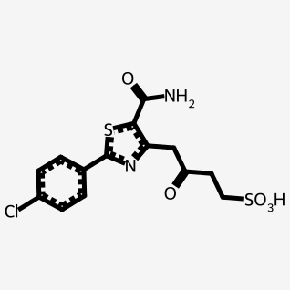 NC(=O)c1sc(-c2ccc(Cl)cc2)nc1CC(=O)CCS(=O)(=O)O